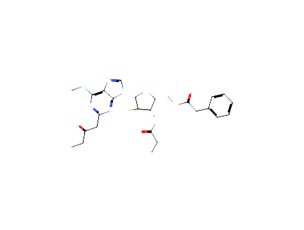 CCC(=O)Cc1nc(NC)c2ncn([C@@H]3O[C@H](COC(=O)Cc4ccccc4)[C@@H](OC(=O)CC)[C@@]3(C)F)c2n1